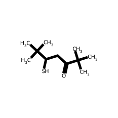 CC(C)(C)C(=O)CC(S)C(C)(C)C